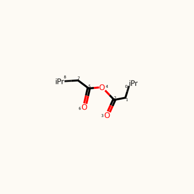 CC(C)CC(=O)OC(=O)CC(C)C